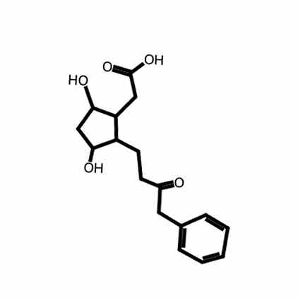 O=C(O)CC1C(O)CC(O)C1CCC(=O)Cc1ccccc1